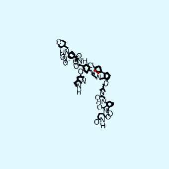 O=C1CCC(N2C(=O)c3cccc(NCC(=O)N4CC(COc5cccc(-c6ccc(Cl)cc6)c5CN5CCN(c6ccc(C(=O)NS(=O)(=O)c7ccc(NCC8CCOCC8)c([N+](=O)[O-])c7)c(Oc7cnc8[nH]ccc8c7)c6)CC5)C4)c3C2=O)C(=O)N1